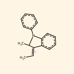 C/C=C1/c2ccccc2N(c2ccccc2)C1C